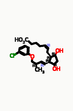 C[C@H](/C=C/[C@@H]1[C@@H](C/C=C\CCCC(=O)O)[C@@H](O)C[C@H]1O)COc1cccc(Cl)c1